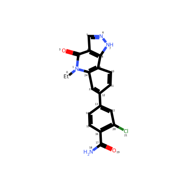 CCn1c(=O)c2cn[nH]c2c2ccc(-c3ccc(C(N)=O)c(Cl)c3)cc21